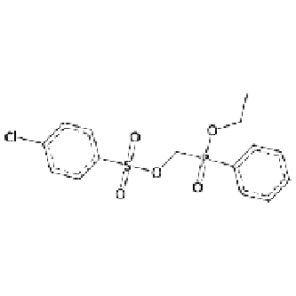 CCOP(=O)(COS(=O)(=O)c1ccc(Cl)cc1)c1ccccc1